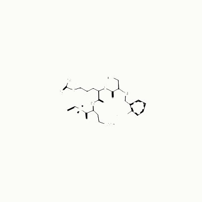 C=CS(=O)(=O)C(=O)C(CCSC)NC(=O)C(CCCNC(=N)N)NC(=O)C(CC(C)C)NCc1ccccc1C(=O)O